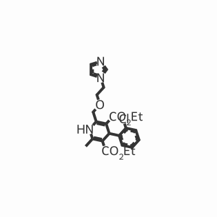 CCOC(=O)C1=C(C)NC(COCCn2ccnc2)=C(C(=O)OCC)C1c1ccccc1Cl